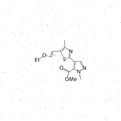 CCO/C=C/c1sc(-c2cnn(C)c2C(=O)OC)nc1C